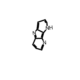 c1c[nH]c2c3ncccc3nc-2c1